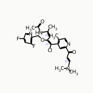 CC(=O)N/C(C)=C\C(OCc1ncc(F)cc1F)=C(\Cl)c1cc(C(=O)/C=C/N(C)C)ncc1C